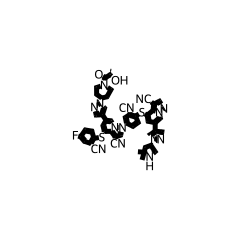 C[C@H](O)C(=O)N1CCC(n2cc(-c3cc(Sc4ccc(F)cc4C#N)c4c(C#N)c[n+](-c5ccc(Sc6cc(-c7cnn([C@H]8CNC(C)(C)C8)c7)cn7ncc(C#N)c67)c(C#N)c5)n4c3)cn2)CC1